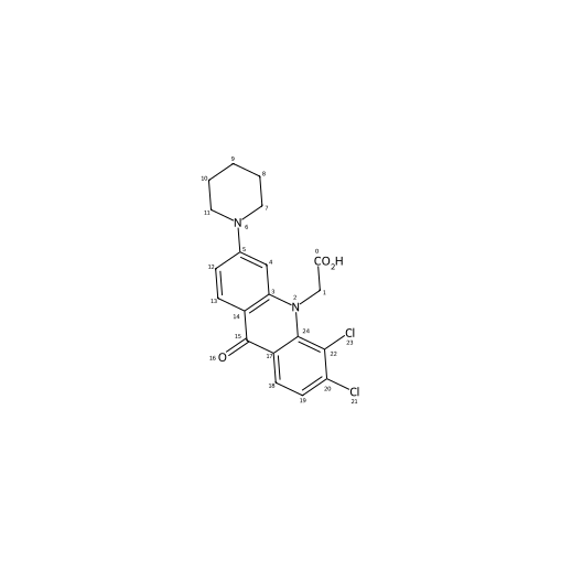 O=C(O)Cn1c2cc(N3CCCCC3)ccc2c(=O)c2ccc(Cl)c(Cl)c21